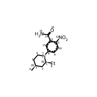 CC[C@H]1C[C@@H](C)CCN1c1ccc([N+](=O)[O-])c(C(N)=O)c1